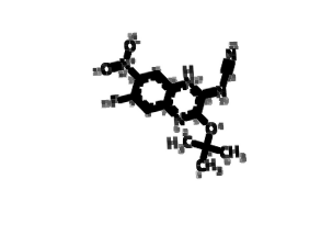 CC(C)(C)Oc1nc2cc(F)c([N+](=O)[O-])cc2[nH]/c1=N\C#N